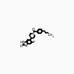 CCCCc1ccc(C(=O)N2CCC(c3cc4c(cc3F)[N]C(=O)N4)CC2)cc1